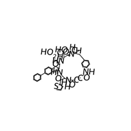 O=C(O)C[C@@H]1NC(=O)[C@H](Cc2ccc(-c3ccccc3)cc2)NC(=O)[C@@H](Cc2cccs2)NC(=O)CCC(=O)Nc2ccc(cc2)C[C@@H](C(=O)O)NC1=O